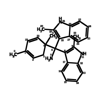 CC1=CCC(C)(C(N)(c2c(C)[nH]c3ccccc23)c2c(C)[nH]c3ccccc23)C=C1